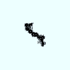 COC(=O)NCC(=O)N1CCC[C@H]1c1ncc(-c2ccc3cc(-c4ccc(-c5cnc([C@@H]6CCCN6C(=O)[CH]C(C)C)[nH]5)cc4)cnc3c2)[nH]1